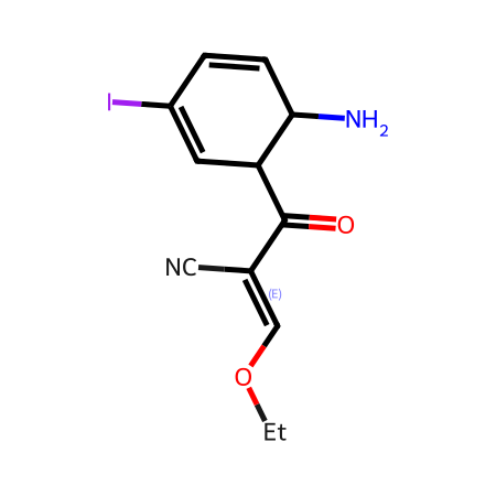 CCO/C=C(\C#N)C(=O)C1C=C(I)C=CC1N